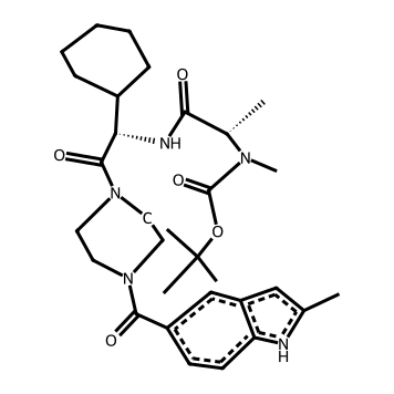 Cc1cc2cc(C(=O)N3CCN(C(=O)[C@@H](NC(=O)[C@H](C)N(C)C(=O)OC(C)(C)C)C4CCCCC4)CC3)ccc2[nH]1